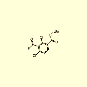 CC(C)(C)OC(=O)c1ccc(Cl)c(C(=O)F)c1Cl